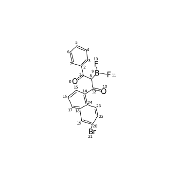 O=C(c1ccccc1)C(B(F)F)C(=O)c1cccc2cc(Br)ccc12